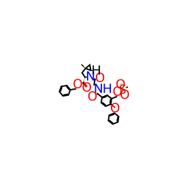 C[C@@]12C[C@@H]1N(C(=O)CNC(=O)c1ccc(Oc3ccccc3)c(COS(C)(=O)=O)c1)[C@H](C(=O)OCc1ccccc1)C2